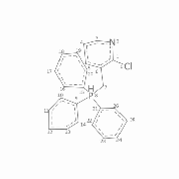 Clc1ncccc1C[PH](c1ccccc1)(c1ccccc1)c1ccccc1